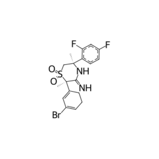 C[C@@]1(C2=CC(Br)=CCC2)C(=N)N[C@](C)(c2ccc(F)cc2F)CS1(=O)=O